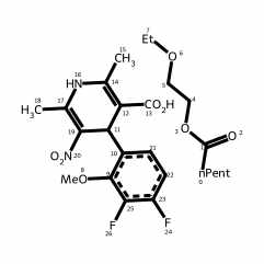 CCCCCC(=O)OCCOCC.COc1c(C2C(C(=O)O)=C(C)NC(C)=C2[N+](=O)[O-])ccc(F)c1F